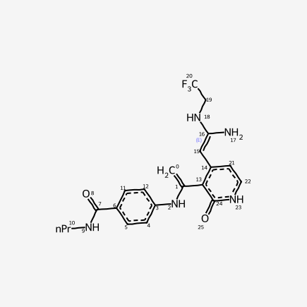 C=C(Nc1ccc(C(=O)NCCC)cc1)c1c(/C=C(\N)NCC(F)(F)F)cc[nH]c1=O